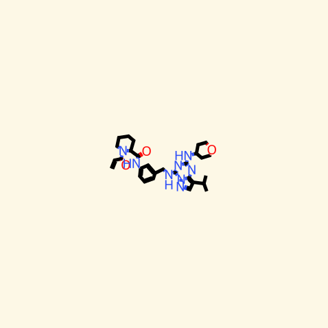 C=CC(=O)N1CCCCC1C(=O)Nc1cccc(CNc2nc(NC3CCOCC3)nc3c(C(C)C)cnn23)c1